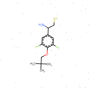 CC(C)(C)COc1c(F)cc(C(N)CS)cc1F